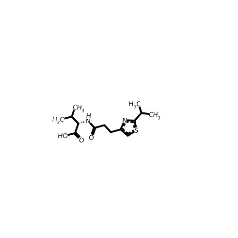 CC(C)c1nc(CCC(=O)N[C@H](C(=O)O)C(C)C)cs1